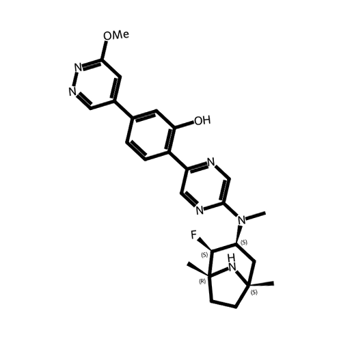 COc1cc(-c2ccc(-c3cnc(N(C)[C@H]4C[C@]5(C)CC[C@@](C)(N5)[C@H]4F)cn3)c(O)c2)cnn1